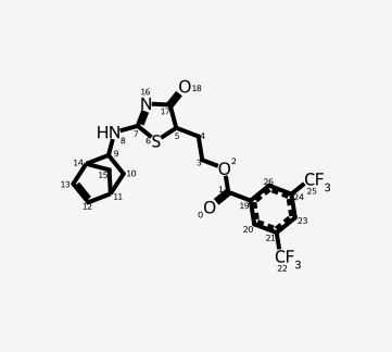 O=C(OCCC1SC(NC2CC3C=CC2C3)=NC1=O)c1cc(C(F)(F)F)cc(C(F)(F)F)c1